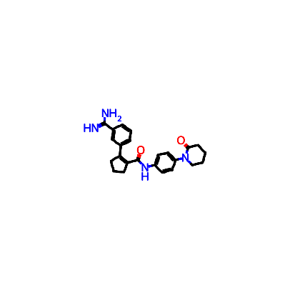 N=C(N)c1cccc(C2=C(C(=O)Nc3ccc(N4CCCCC4=O)cc3)CCC2)c1